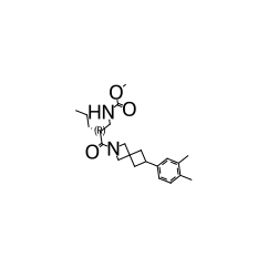 CCC[C@H](CNC(=O)OC)C(=O)N1CC2(CC(c3ccc(C)c(C)c3)C2)C1